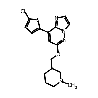 CN1CCCC(COc2cc(-c3ccc(Cl)s3)c3nccn3n2)C1